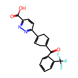 O=C(O)c1ccc(C2=CCC(C(=O)c3ccccc3C(F)(F)F)=CC2)nn1